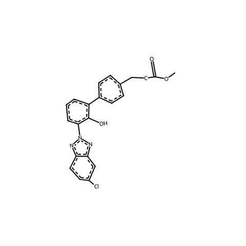 COC(=O)CCc1ccc(-c2cccc(-n3nc4ccc(Cl)cc4n3)c2O)cc1